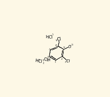 Cl.Cl.Cl.Clc1cccc(Cl)c1Cl